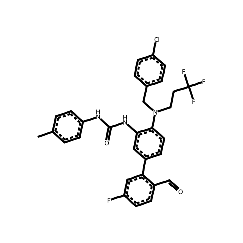 Cc1ccc(NC(=O)Nc2cc(-c3cc(F)ccc3C=O)ccc2N(CCC(F)(F)F)Cc2ccc(Cl)cc2)cc1